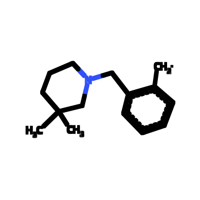 [CH2]c1ccccc1CN1CCCC(C)(C)C1